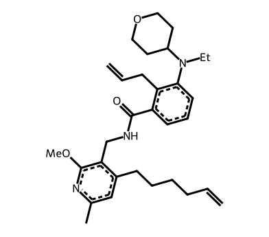 C=CCCCCc1cc(C)nc(OC)c1CNC(=O)c1cccc(N(CC)C2CCOCC2)c1CC=C